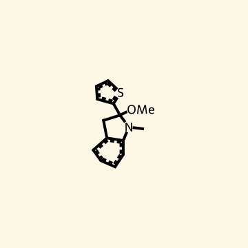 COC1(c2cccs2)Cc2ccccc2N1C